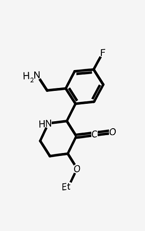 CCOC1CCNC(c2ccc(F)cc2CN)C1=C=O